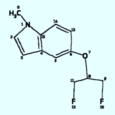 Cn1ccc2cc(OC(CF)CF)ccc21